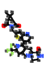 Cc1cc(C(F)(F)F)nc(-c2ccnc3cc(CN4C(=O)C5C(C4=O)C5(C)C)sc23)c1CC1NCCNC1=O